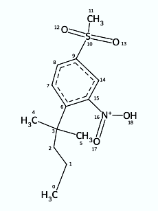 CCCC(C)(C)c1ccc(S(C)(=O)=O)cc1[N+](=O)O